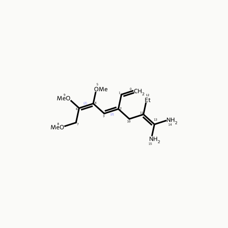 C=C/C(=C\C(OC)=C(/COC)OC)CC(CC)=C(N)N